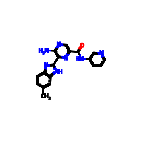 Cc1ccc2nc(-c3nc(C(=O)Nc4cccnc4)cnc3N)[nH]c2c1